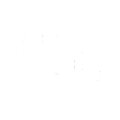 CC(=O)CC1C(C)(C)C1(C#N)C(=O)OCc1cccc(Oc2ccccc2)c1